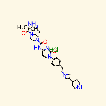 CC(C)(N)C(=O)N1CCN(C(=O)Nc2ccn(-c3ccc(CCN4CC(C5CCNCC5)C4)cc3)c(=O)n2)CC1.Cl